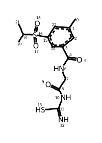 Cc1cc(C(=O)NCC(=O)NC(=N)S)cc(S(=O)(=O)C(C)C)c1